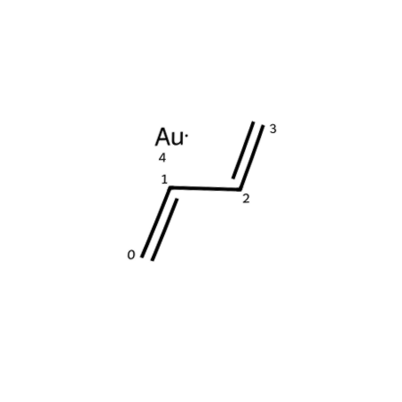 C=CC=C.[Au]